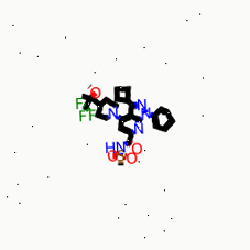 COC(C)(C1CCN(c2cc(C(=O)NS(C)(=O)=O)nc3c2c(C2CCC2)nn3-c2ccccc2)CC1)C(F)(F)F